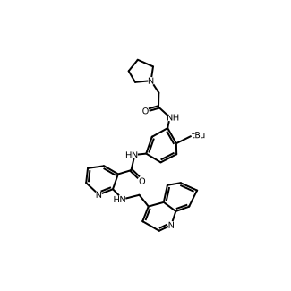 CC(C)(C)c1ccc(NC(=O)c2cccnc2NCc2ccnc3ccccc23)cc1NC(=O)CN1CCCC1